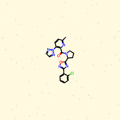 Cc1ccc(-n2nccn2)c(C(=O)N2CCCC2c2nc(-c3ccccc3Cl)no2)n1